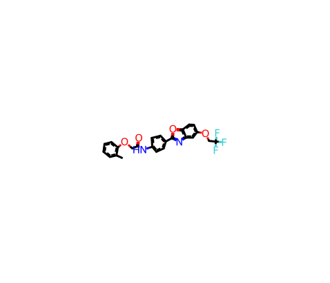 Cc1ccccc1OCC(=O)Nc1ccc(-c2nc3cc(OCC(F)(F)F)ccc3o2)cc1